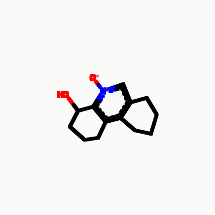 [O-][n+]1cc2c(c3c1C(O)CCC3)CCCC2